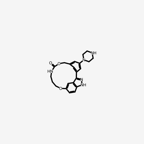 O=C1NCCCOc2ccc3[nH]nc(c3c2)-c2cc(cc(N3CCNCC3)c2)CO1